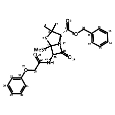 CSC12SC(C)(C)[C@H](C(=O)OCc3ccccc3)N1C(=O)[C@H]2NC(=O)COc1ccccc1